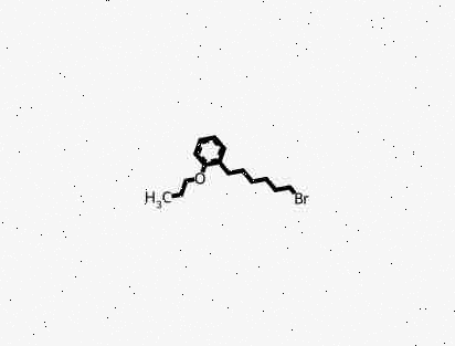 CCCOc1ccccc1CCCCCCBr